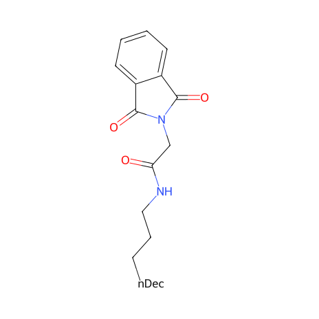 CCCCCCCCCCCCCNC(=O)CN1C(=O)c2ccccc2C1=O